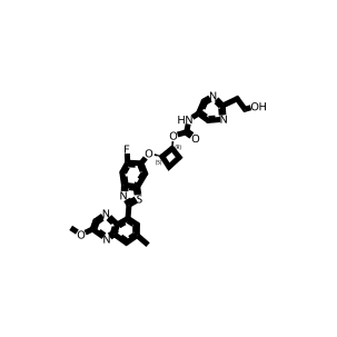 COc1cnc2c(-c3nc4cc(F)c(O[C@H]5CC[C@H]5OC(=O)Nc5cnc(CCO)nc5)cc4s3)cc(C)cc2n1